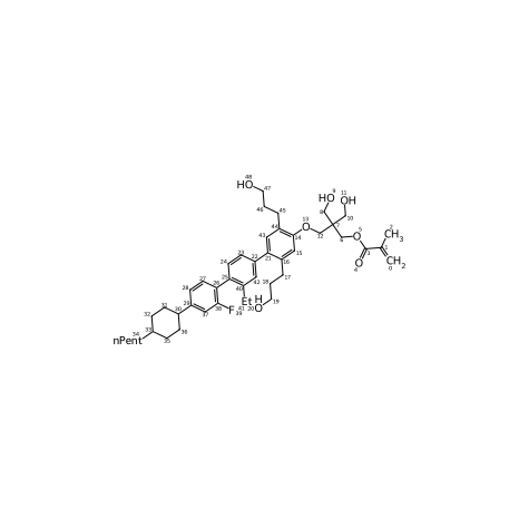 C=C(C)C(=O)OCC(CO)(CO)COc1cc(CCCO)c(-c2ccc(-c3ccc(C4CCC(CCCCC)CC4)cc3F)c(CC)c2)cc1CCCO